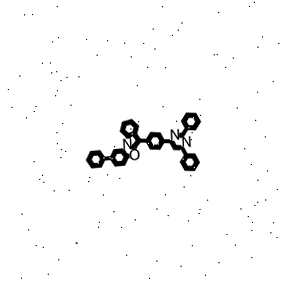 c1ccc(-c2ccc3oc4c(-c5ccc(-c6cc(-c7ccccc7)nc(-c7ccccc7)n6)cc5)c5ccccc5n4c3c2)cc1